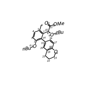 CCCCOc1ccc(C)c([C@H](OC(C)(C)C)C(=O)OC)c1-c1ccc2c(c1)CCCO2